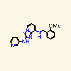 COc1ccccc1CNc1cccn2nc(Nc3cccnc3)nc12